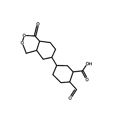 O=CC1CCC(C2CCC3C(=O)OOCC3C2)CC1C(=O)O